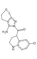 Nc1c2c(nn1C(=O)C1CCNc3ccc(Cl)cc31)COCC2